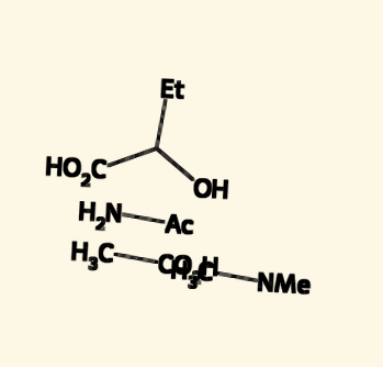 CC(=O)O.CC(N)=O.CCC(O)C(=O)O.CNC